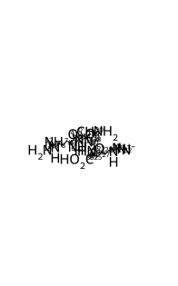 C[C@H](NC(=O)[C@@H](N)CCCNC(=N)N)C(=O)N[C@@H](CCN)C(=O)N[C@@H](CCCCNN=[N+]=[N-])C(=O)O